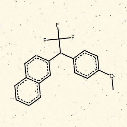 COc1ccc(C(c2ccc3ccccc3c2)C(F)(F)F)cc1